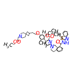 CCOC(=O)CN1CCC2(CC1)CC(CCOc1ccc(-c3ccc(N4CCc5cccc(C(=O)Nc6nc7ccccc7s6)c5C4)nc3C(=O)OC(C)(C)C)c(C)c1)C2